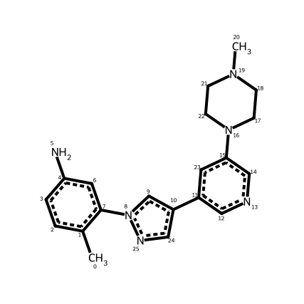 Cc1ccc(N)cc1-n1cc(-c2cncc(N3CCN(C)CC3)c2)cn1